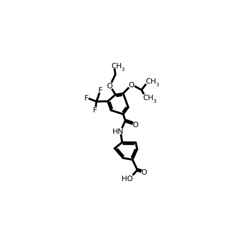 CCOc1c(OC(C)C)cc(C(=O)Nc2ccc(C(=O)O)cc2)cc1C(F)(F)F